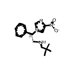 CC(C)(C)CNC[C@H](c1ccccc1)n1cnc([N+](=O)[O-])c1